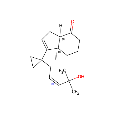 C[C@@]12CCCC(=O)[C@@H]1CC=C2C1(C/C=C\C(O)(C(F)(F)F)C(F)(F)F)CC1